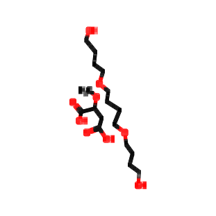 COC(CC(=O)O)C(=O)O.OCCCCOCCCCOCCCCO